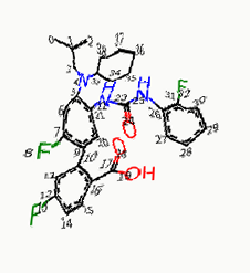 CC(C)CN(c1cc(F)c(-c2cc(F)ccc2C(=O)O)cc1NC(=O)Nc1ccccc1F)C1CCCCC1